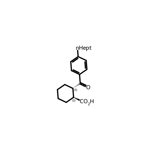 CCCCCCCc1ccc(C(=O)[C@H]2CCCC[C@@H]2C(=O)O)cc1